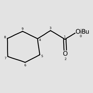 [CH2]C(C)COC(=O)CC1CCCCC1